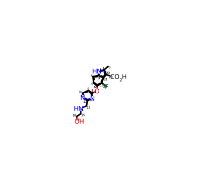 Cc1[nH]c2ccc(Oc3ccnc(CNCCO)n3)c(F)c2c1C(=O)O